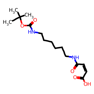 CC(C)(C)OC(=O)NCCCCCCNC(=O)/C=C\C(=O)O